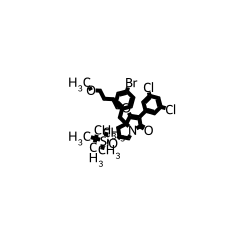 COCCCCOC1=C(c2cc(Cl)cc(Cl)c2)C(=O)N2CC(O[Si](C)(C)C(C)(C)C)CC12Cc1ccc(Br)cc1